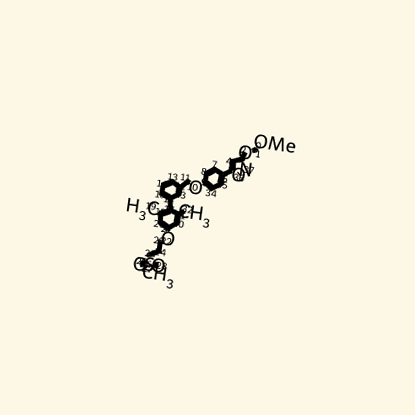 COCOc1cc(-c2ccc(OCc3cccc(-c4c(C)cc(OCCCS(C)(=O)=O)cc4C)c3)cc2)on1